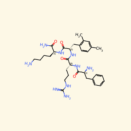 Cc1ccc(C[C@H](NC(=O)[C@@H](CCCNC(=N)N)NC(=O)[C@@H](N)Cc2ccccc2)C(=O)N[C@@H](CCCCN)C(N)=O)c(C)c1